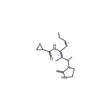 C=C1NCCN1N(C)/C(C)=C(\C=C/CC)NC(=O)C1CC1